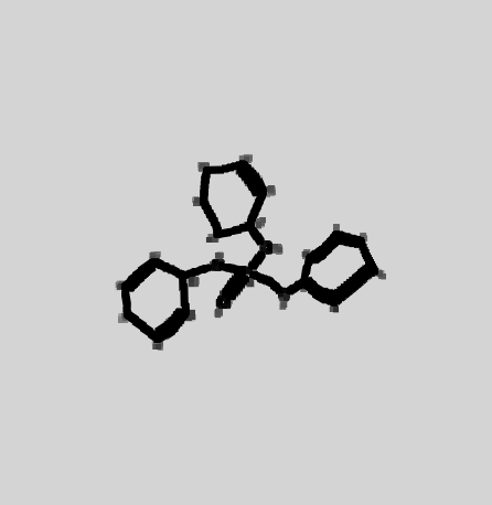 O=P(OC1=C=CC=C=C1)(OC1C=CCC=C1)OC1C=CCCC1